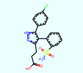 NS(=O)(=O)c1ccccc1-c1c(CCC(=O)O)n[nH]c1-c1ccc(Cl)cc1